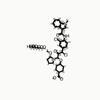 CO[C@H]1CCCN1C(OC1CCC(C(=O)[O-])CC1)C(=O)C(Cl)c1ccc(NC(=O)c2cn(C)c3ccccc23)c(Cl)c1.O.O.O.O.O.[Na+]